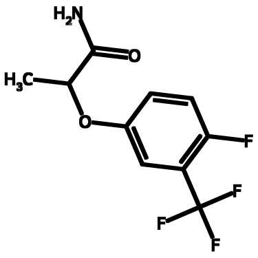 CC(Oc1ccc(F)c(C(F)(F)F)c1)C(N)=O